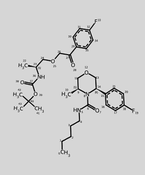 CCCCCNC(=O)N1[C@@H](C)COC[C@H]1c1ccc(F)cc1.C[C@@H](COCC(=O)c1ccc(F)cc1)NC(=O)OC(C)(C)C